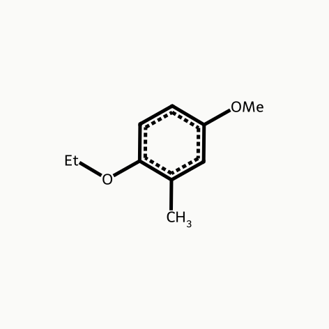 CCOc1ccc(OC)cc1C